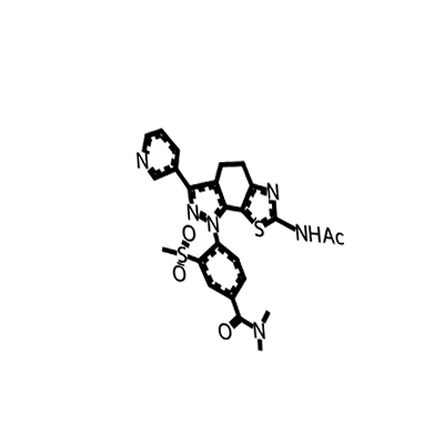 CC(=O)Nc1nc2c(s1)-c1c(c(-c3cccnc3)nn1-c1ccc(C(=O)N(C)C)cc1S(C)(=O)=O)CC2